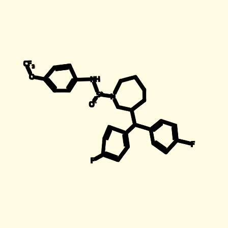 [O-][S+](Nc1ccc(OC(F)(F)F)cc1)N1CCCCC(C(c2ccc(F)cc2)c2ccc(F)cc2)C1